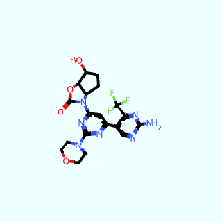 Nc1ncc(-c2cc(N3C(=O)OC4C(O)CCC43)nc(N3CCOCC3)n2)c(C(F)(F)F)n1